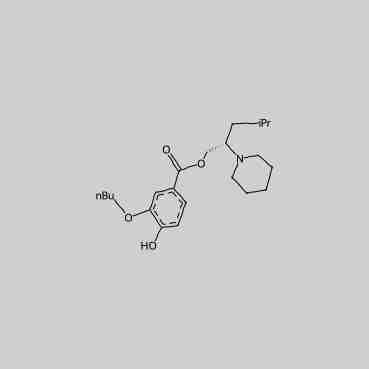 CCCCOc1cc(C(=O)OC[C@H](CC(C)C)N2CCCCC2)ccc1O